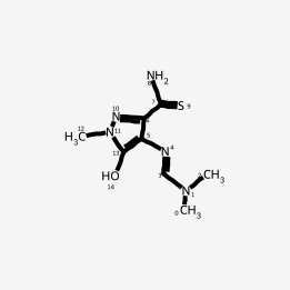 CN(C)/C=N/c1c(C(N)=S)nn(C)c1O